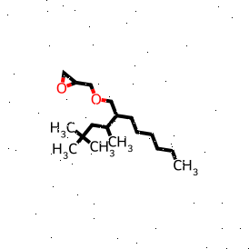 CCCCCCC(COCC1CO1)C(C)CC(C)(C)C